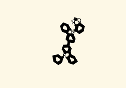 c1ccc(-n2c3ccccc3c3cc(-c4ccc5c(c4)c4ccccc4n5-c4cccc5ocnc45)ccc32)cc1